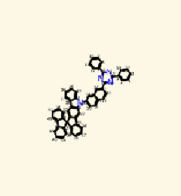 c1ccc(-c2nc(-c3ccccc3)nc(-c3ccc4ccc(-n5c6ccccc6c6cc7c(cc65)-c5ccccc5C75c6ccccc6-c6ccccc65)cc4c3)n2)cc1